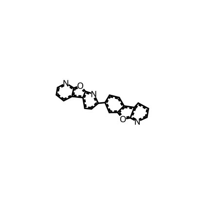 c1cnc2oc3cc(-c4ccc5c(n4)oc4ncccc45)ccc3c2c1